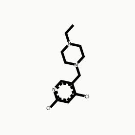 CCN1CCN(Cc2cnc(Cl)cc2Cl)CC1